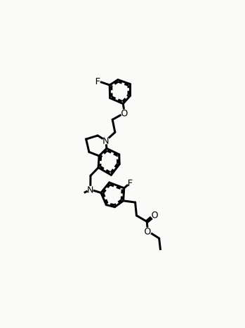 CCOC(=O)CCc1ccc(N(C)Cc2cccc3c2CCCN3CCOc2cccc(F)c2)cc1F